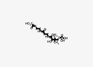 CC(C)(COP(=O)(O)O)C(O)C(=O)NCCC(=O)NCCSC(=O)C(=O)O